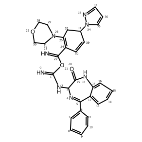 N=C(NC1N=C(c2ccccc2)c2ccccc2NC1=O)OC(=N)C1=C(N2CCOCC2)CC(n2cccn2)C=C1